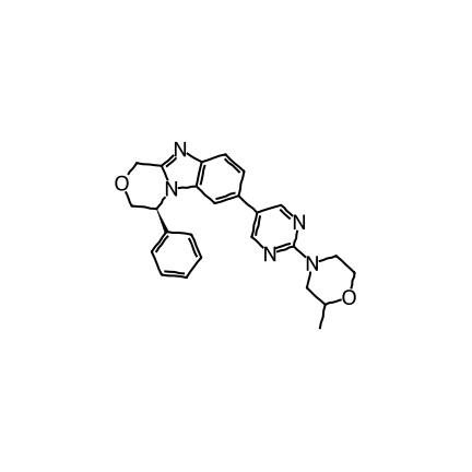 CC1CN(c2ncc(-c3ccc4nc5n(c4c3)[C@@H](c3ccccc3)COC5)cn2)CCO1